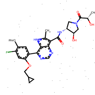 COc1cc(-c2ncnc3c(C(=O)N[C@@H]4CN(C(=O)[C@H](C)O)C[C@H]4O)c(C)[nH]c23)c(OCC2CC2)cc1F